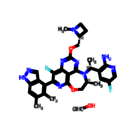 Cc1cc2[nH]ncc2c(-c2nc3c4c(nc(OC[C@H]5CCN5C)nc4c2F)N([C@H](C)c2cc(F)cnc2N)[C@@H](C)CO3)c1C(F)(F)F.O=CO